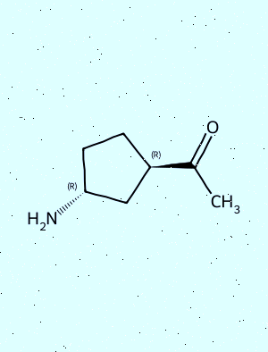 CC(=O)[C@@H]1CC[C@@H](N)C1